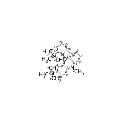 CN(c1ccc([Si](C)(C)C)cc1)c1cccc2c1oc1c([Si](C)(C)C)cccc12